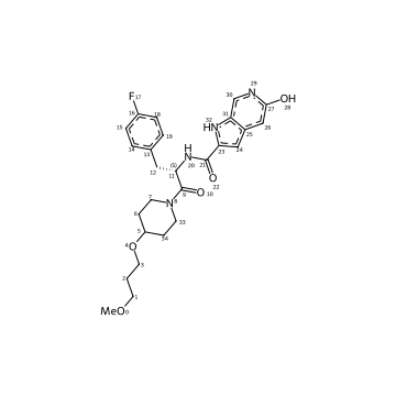 COCCCOC1CCN(C(=O)[C@H](Cc2ccc(F)cc2)NC(=O)c2cc3cc(O)ncc3[nH]2)CC1